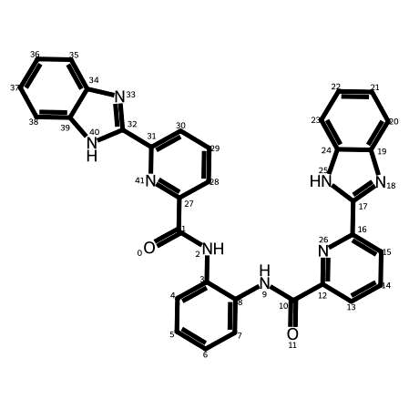 O=C(Nc1ccccc1NC(=O)c1cccc(-c2nc3ccccc3[nH]2)n1)c1cccc(-c2nc3ccccc3[nH]2)n1